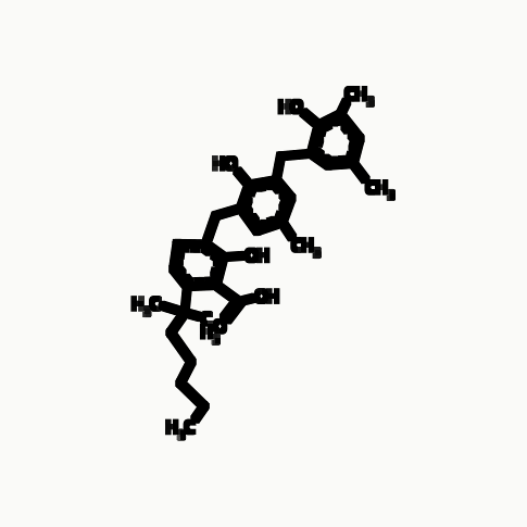 CCCCCC(C)(C)c1ccc(Cc2cc(C)cc(Cc3cc(C)cc(C)c3O)c2O)c(O)c1C(=O)O